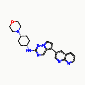 c1cnc2ncc(-c3ccn4nc(N[C@H]5CC[C@@H](N6CCOCC6)CC5)ncc34)cc2c1